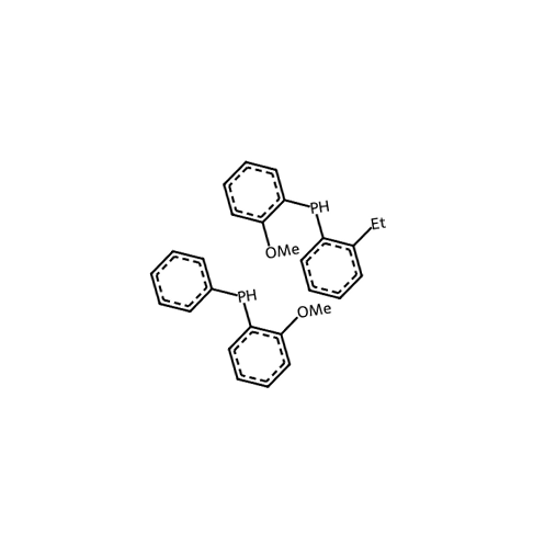 CCc1ccccc1Pc1ccccc1OC.COc1ccccc1Pc1ccccc1